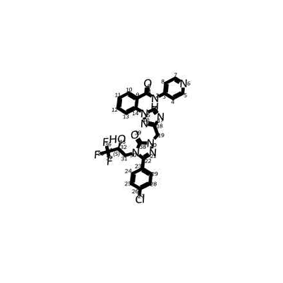 O=C(Nc1ccncc1)c1ccccc1-n1cnc(Cn2nc(-c3ccc(Cl)cc3)n(C[C@H](O)C(F)(F)F)c2=O)n1